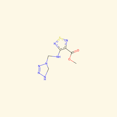 COC(=O)c1nsnc1NCN1CNN=N1